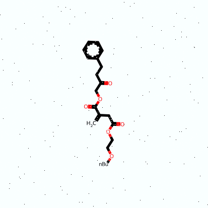 C=C(CC(=O)OCCOCCCC)C(=O)OCC(=O)CCc1ccccc1